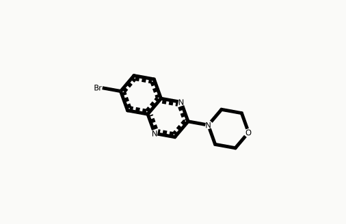 Brc1ccc2nc(N3CCOCC3)cnc2c1